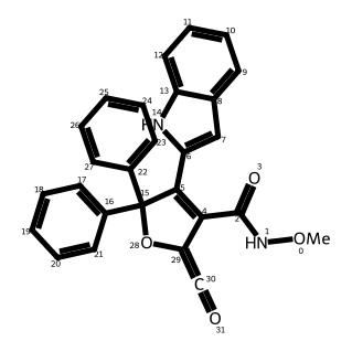 CONC(=O)C1=C(c2cc3ccccc3[nH]2)C(c2ccccc2)(c2ccccc2)OC1=C=O